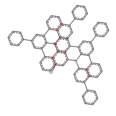 Clc1cc(N(c2ccc(-c3ccccc3)cc2)c2c(-c3ccccc3)cc(-c3ccccc3)cc2-c2ccccc2)cc(N(c2ccc(-c3ccccc3)cc2)c2c(-c3ccccc3)cc(-c3ccccc3)cc2-c2ccccc2)c1